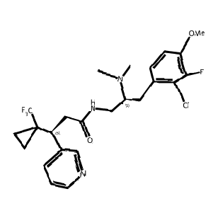 COc1ccc(C[C@@H](CNC(=O)C[C@@H](c2cccnc2)C2(C(F)(F)F)CC2)N(C)C)c(Cl)c1F